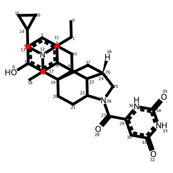 CCc1ccc(O)cc1C12CCN(CC3CC3)C(C)C13CCC1C2[C@@H](CN1C(=O)c1cc(=O)[nH]c(=O)[nH]1)C3